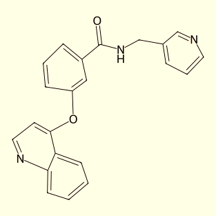 O=C(NCc1cccnc1)c1cccc(Oc2ccnc3ccccc23)c1